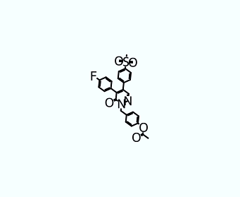 CC(=O)Oc1ccc(Cn2ncc(-c3ccc(S(C)(=O)=O)cc3)c(-c3ccc(F)cc3)c2=O)cc1